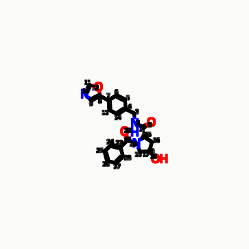 O=C(NCc1ccc(-c2cnco2)cc1)[C@@H]1C[C@@H](O)CN1C(=O)c1ccccc1